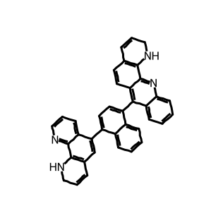 C1=Cc2cc(-c3ccc(-c4c5ccccc5nc5c6c(ccc45)C=CCN6)c4ccccc34)c3cccnc3c2NC1